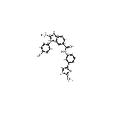 Cc1nc(-c2cccc(NC(=O)c3ccc4nc(C)n(-c5ccc(F)cc5)c4c3)c2)cs1